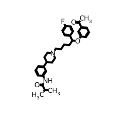 CC(=O)c1cccc(OC(CCCCN2CCC(c3cccc(NC(=O)C(C)C)c3)CC2)c2ccc(F)cc2)c1